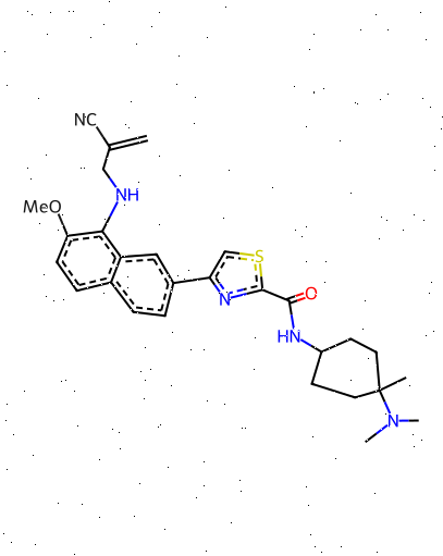 C=C(C#N)CNc1c(OC)ccc2ccc(-c3csc(C(=O)NC4CCC(C)(N(C)C)CC4)n3)cc12